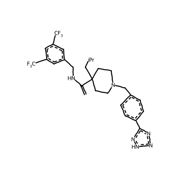 C=C(NCc1cc(C(F)(F)F)cc(C(F)(F)F)c1)C1(CC(C)C)CCN(Cc2ccc(-c3nn[nH]n3)cc2)CC1